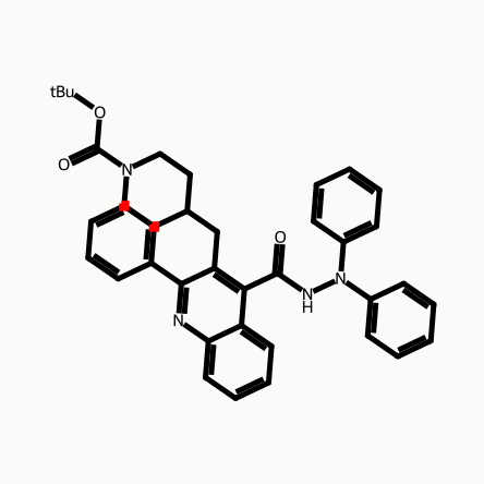 CC(C)(C)OC(=O)N1CCC(Cc2c(-c3ccccc3)nc3ccccc3c2C(=O)NN(c2ccccc2)c2ccccc2)CC1